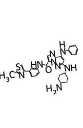 Cc1nc(-c2cccc(NC(=O)c3cnc4c(Nc5ccccc5)cc(N[C@H]5CC[C@H](N)CC5)nn34)c2)cs1